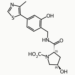 Cc1ncsc1-c1ccc(CNC(=O)[C@@H]2C[C@@H](O)CN2C(=O)O)c(O)c1